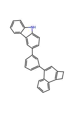 c1cc(-c2ccc3[nH]c4ccccc4c3c2)cc(-c2cc3c(c4ccccc24)CC3)c1